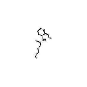 COCCCC(=O)Nc1ccccc1CO